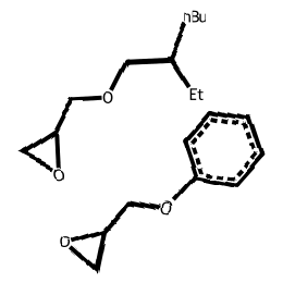 CCCCC(CC)COCC1CO1.c1ccc(OCC2CO2)cc1